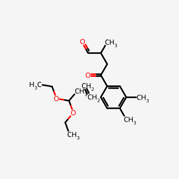 C=C.CCOC(C)OCC.Cc1ccc(C(=O)CC(C)C=O)cc1C